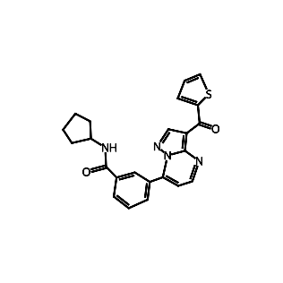 O=C(NC1CCCC1)c1cccc(-c2ccnc3c(C(=O)c4cccs4)cnn23)c1